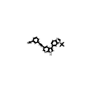 CC(C)(C)n1cnc2ccc(-c3c[nH]c4ncc(C#Cc5cccc(C#N)c5)cc34)cc21